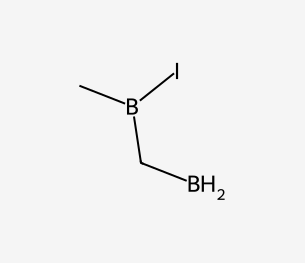 BCB(C)I